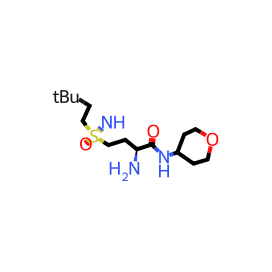 CC(C)(C)CCS(=N)(=O)CC[C@H](N)C(=O)NC1CCOCC1